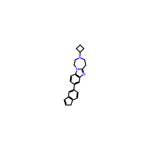 C1=Cc2cc(-c3ccc4c(c3)nc3n4CCN(C4CCC4)CC3)ccc2C1